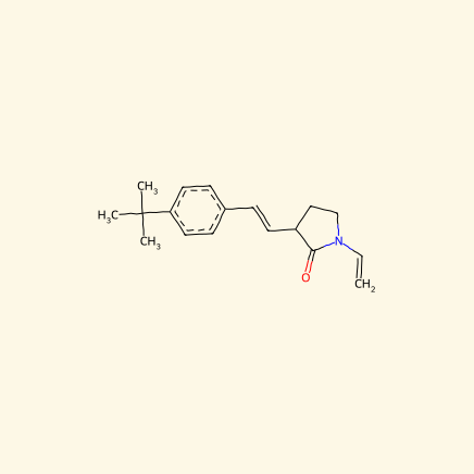 C=CN1CCC(C=Cc2ccc(C(C)(C)C)cc2)C1=O